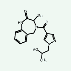 CCC(C)C1C(=O)Nc2ccccc2CN1C(=O)c1cnn(CC(C)O)c1